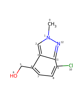 Cn1cc2c(CO)ccc(Cl)c2n1